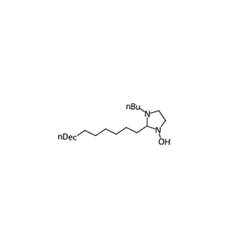 CCCCCCCCCCCCCCCCC1N(O)CCN1CCCC